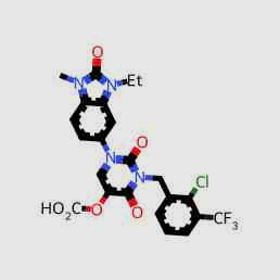 CCn1c(=O)n(C)c2ccc(-n3cc(OC(=O)O)c(=O)n(Cc4cccc(C(F)(F)F)c4Cl)c3=O)cc21